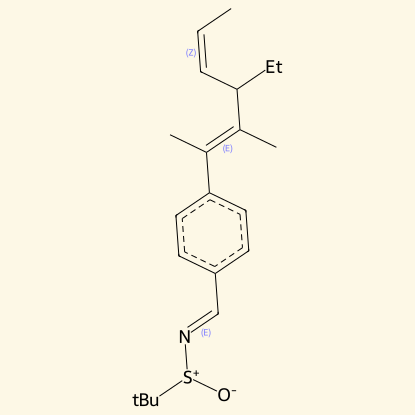 C/C=C\C(CC)/C(C)=C(\C)c1ccc(/C=N/[S+]([O-])C(C)(C)C)cc1